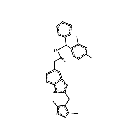 Cc1ccc(C(NC(=O)Cc2ccc3[nH]c(Cc4c(C)noc4C)nc3c2)c2ccccc2)c(C)c1